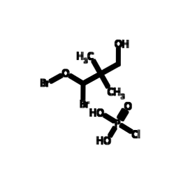 CC(C)(CO)C(Br)OBr.O=P(O)(O)Cl